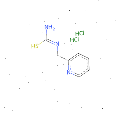 Cl.Cl.NC(S)=NCc1ccccn1